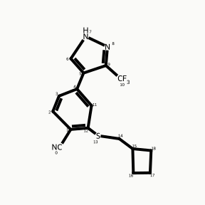 N#Cc1ccc(-c2c[nH]nc2C(F)(F)F)cc1SCC1CCC1